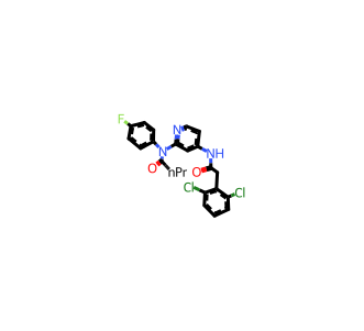 CCCC(=O)N(c1ccc(F)cc1)c1cc(NC(=O)Cc2c(Cl)cccc2Cl)ccn1